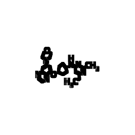 CCc1cc(N[C@H]2CC[C@@H](Oc3cc(N4CCOCC4)cc4nccnc34)CC2)nc(C)n1